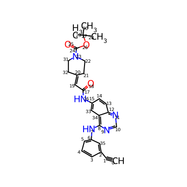 C#Cc1cccc(Nc2ncnc3ccc(NC(=O)C=C4CCN(C(=O)OC(C)(C)C)CC4)cc23)c1